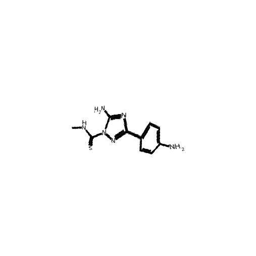 CNC(=S)n1nc(-c2ccc(N)cc2)nc1N